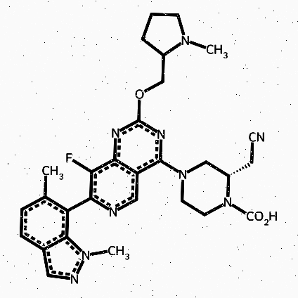 Cc1ccc2cnn(C)c2c1-c1ncc2c(N3CCN(C(=O)O)[C@@H](CC#N)C3)nc(OCC3CCCN3C)nc2c1F